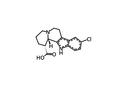 O=C(O)[C@@H]1CCCN2CCc3c([nH]c4ccc(Cl)cc34)[C@H]12